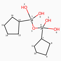 O[Si](O)(O[Si](O)(O)C1CCCC1)C1CCCC1